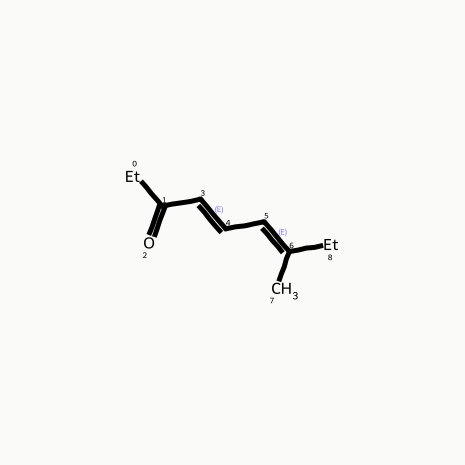 CCC(=O)/C=C/C=C(\C)CC